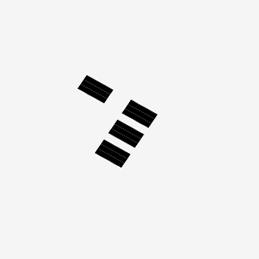 C#C.C#C.C#C.C#C